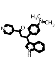 CN(C)c1ccc(C(CC(=O)c2ccncc2)c2c[nH]c3ccccc23)cc1